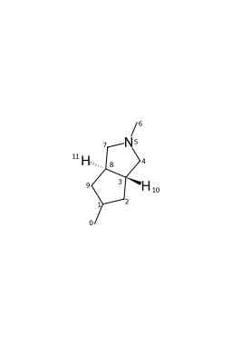 CC1C[C@H]2CN(C)C[C@@H]2C1